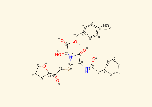 O=C(Cc1ccccc1)NC1C(=O)N(C(O)C(=O)OCc2ccc([N+](=O)[O-])cc2)C1SCC(=O)C1CCCO1